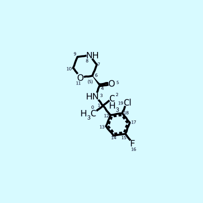 CC(C)(NC(=O)[C@@H]1CNCCO1)c1ccc(F)cc1Cl